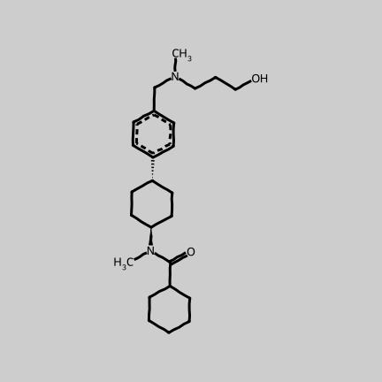 CN(CCCO)Cc1ccc([C@H]2CC[C@H](N(C)C(=O)C3CCCCC3)CC2)cc1